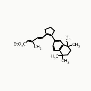 CCOC(=O)/C=C(C)/C=C/C1=C(c2ccc3c(c2)C(C)(C)CCC3(C)C)CCC1